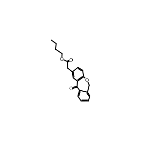 CCCCOC(=O)Cc1ccc2c(c1)C(=O)c1ccccc1CO2